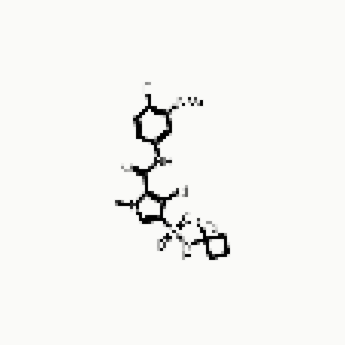 CNc1cc(NC(=O)c2c(Cl)c(S(=O)(=O)NC3(C(F)(F)F)CCC3)cn2C)ccc1F